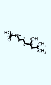 CC(C)CC(O)CCCNC(=O)O